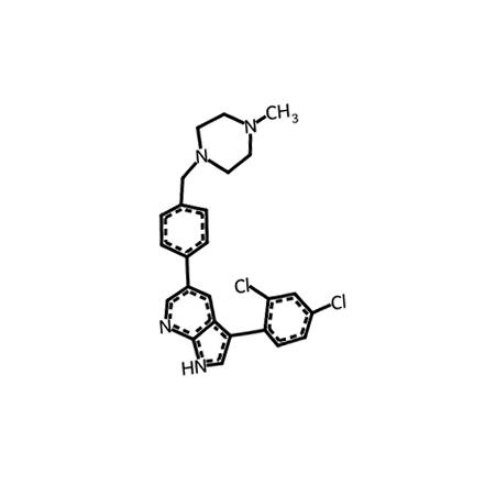 CN1CCN(Cc2ccc(-c3cnc4[nH]cc(-c5ccc(Cl)cc5Cl)c4c3)cc2)CC1